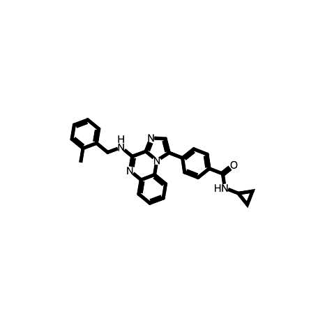 Cc1ccccc1CNc1nc2ccccc2n2c(-c3ccc(C(=O)NC4CC4)cc3)cnc12